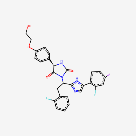 O=C1N[C@H](c2ccc(OCCO)cc2)C(=O)N1C(Cc1ccccc1F)c1ncc(-c2ccc(I)cc2F)[nH]1